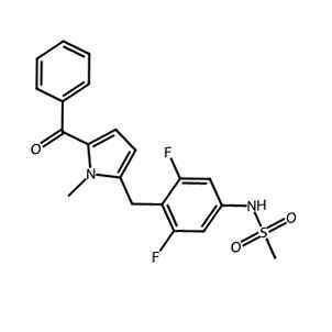 Cn1c(Cc2c(F)cc(NS(C)(=O)=O)cc2F)ccc1C(=O)c1ccccc1